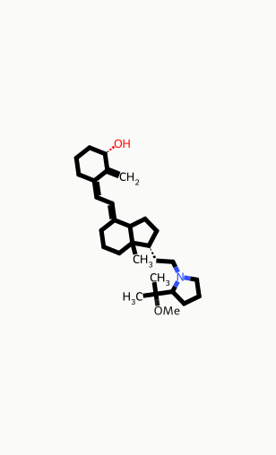 C=C1/C(=C\C=C2/CCCC3(C)C2CC[C@@H]3CCN2CCCC2C(C)(C)OC)CCC[C@@H]1O